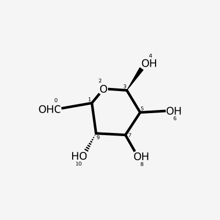 O=CC1O[C@@H](O)C(O)C(O)[C@@H]1O